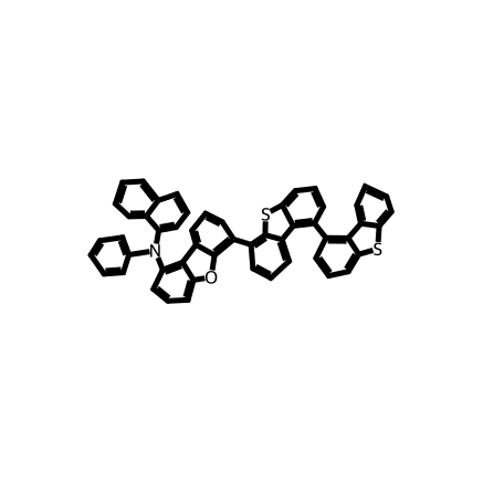 c1ccc(N(c2cccc3ccccc23)c2cccc3oc4c(-c5cccc6c5sc5cccc(-c7cccc8sc9ccccc9c78)c56)cccc4c23)cc1